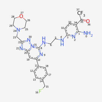 Nc1nc(NCCNc2nc(-c3ccc(CF)cc3)cc3nc(CN4CCOCC4)nn23)ccc1C(=O)C(F)(F)F